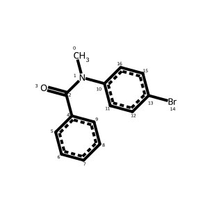 CN(C(=O)c1ccccc1)c1ccc(Br)cc1